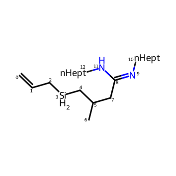 C=CC[SiH2]CC(C)CC(=NCCCCCCC)NCCCCCCC